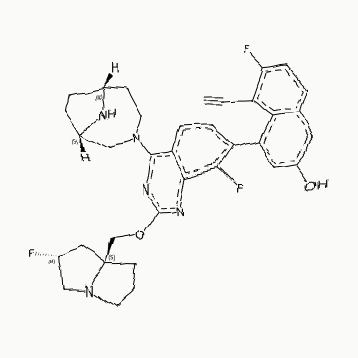 C#Cc1c(F)ccc2cc(O)cc(-c3ccc4c(N5CC[C@H]6CC[C@@H](C5)N6)nc(OC[C@@]56CCCN5C[C@H](F)C6)nc4c3F)c12